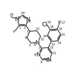 Cc1c(C2CCN(c3ncncc3-c3ccc(F)c(Cl)c3)CC2)ncn1C